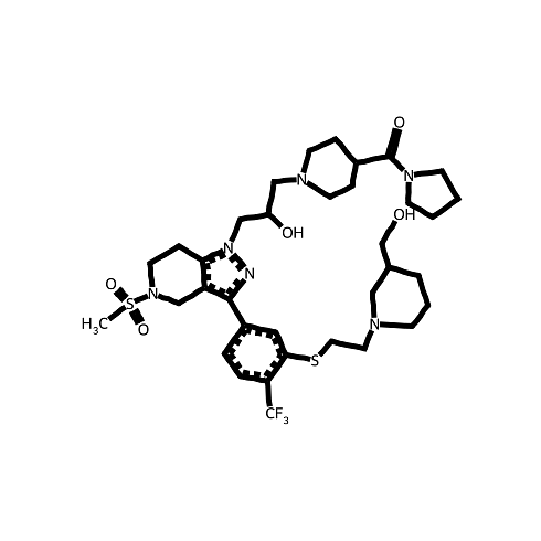 CS(=O)(=O)N1CCc2c(c(-c3ccc(C(F)(F)F)c(SCCN4CCCC(CO)C4)c3)nn2CC(O)CN2CCC(C(=O)N3CCCC3)CC2)C1